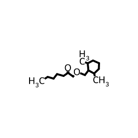 CCCCCC(=O)COCC1C(C)CCCC1C